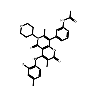 CC(=O)Nc1cccc(-c2c(C)n(C3CCOCC3)c(=O)c3c(Nc4ccc(C)cc4F)c(C)c(=O)oc23)c1